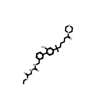 CCOC(=O)CNC(=O)NCc1cccc(-c2ccc(C(C)(C)CCCCC(=O)N3CCOCC3)cc2O)c1